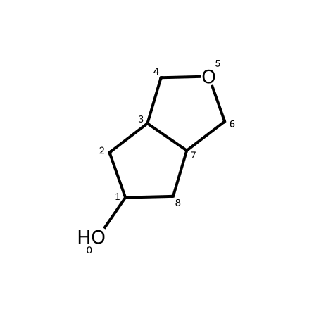 OC1CC2COCC2C1